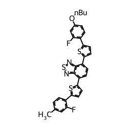 CCCCOc1ccc(-c2ccc(-c3ccc(-c4ccc(-c5ccc(C)cc5F)s4)c4nsnc34)s2)c(F)c1